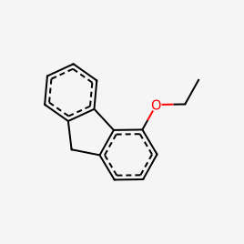 CCOc1cccc2c1-c1ccccc1C2